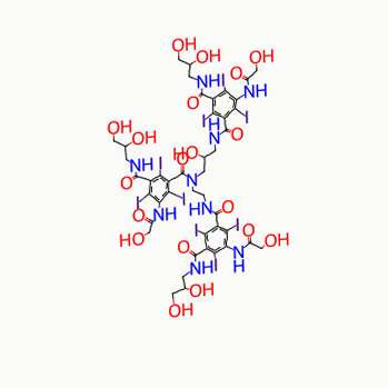 O=C(CO)Nc1c(I)c(C(=O)NCCN(CC(O)CNC(=O)c2c(I)c(NC(=O)CO)c(I)c(C(=O)NCC(O)CO)c2I)C(=O)c2c(I)c(NC(=O)CO)c(I)c(C(=O)NCC(O)CO)c2I)c(I)c(C(=O)NCC(O)CO)c1I